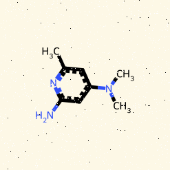 Cc1cc(N(C)C)cc(N)n1